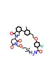 Cc1cc(CCOc2ccc(C(N)=O)c(F)c2)ccc1-c1cccc2c1CN(C1CCC(=O)N(COCC[Si](C)(C)C)C1=O)C2=O